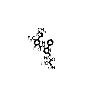 Cn1ccc(-c2cc(C(=O)Nc3ccc(CNC(=O)[C@H](O)CO)nc3-c3ccccc3)c(F)cc2C(F)(F)F)n1